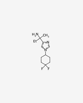 CCC(C)(N)c1cn(C2CCC(F)(F)CC2)cn1